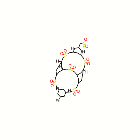 CCC1C[C@@H]2C[C@H](C1)CS(=O)(=O)CC1CC3C[C@@H](C1)CS(=O)(=O)C[C@@H]1CC(C[SH](=O)=O)C[C@@H](C1)CS(=O)(=O)C[C@H]1CC(C[C@H](C1)CS(=O)(=O)C3)CS(=O)(=O)C2